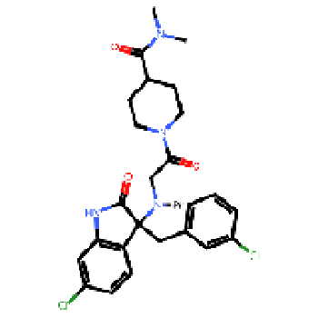 CC(C)N(CC(=O)N1CCC(C(=O)N(C)C)CC1)C1(Cc2cccc(Cl)c2)C(=O)Nc2cc(Cl)ccc21